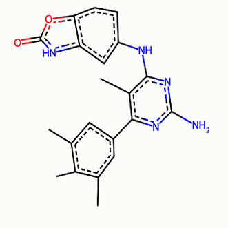 Cc1cc(-c2nc(N)nc(Nc3ccc4oc(=O)[nH]c4c3)c2C)cc(C)c1C